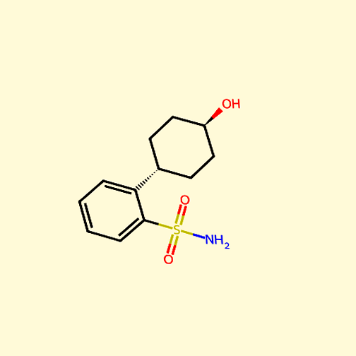 NS(=O)(=O)c1ccccc1[C@H]1CC[C@H](O)CC1